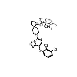 CC(C)(C)[S+]([O-])N[C@@H]1CCCC12CCN(c1ncc(Sc3cccc(Cl)c3Cl)c3nncn13)CC2